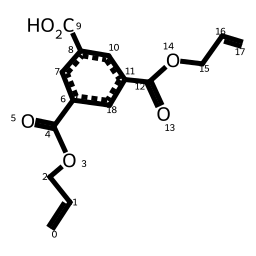 C=CCOC(=O)c1cc(C(=O)O)cc(C(=O)OCC=C)c1